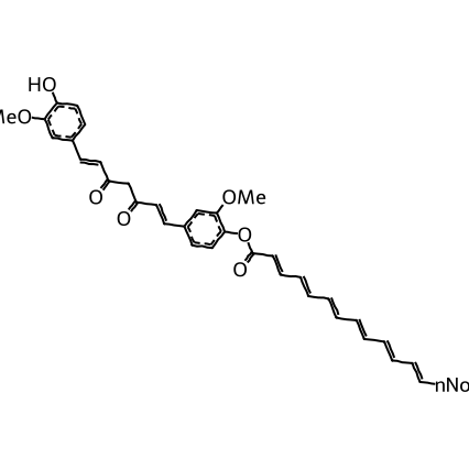 CCCCCCCCCC=CC=CC=CC=CC=CC=CC(=O)Oc1ccc(C=CC(=O)CC(=O)C=Cc2ccc(O)c(OC)c2)cc1OC